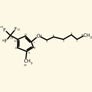 CCCCCCOc1cc(C)cc(C(F)(F)F)c1